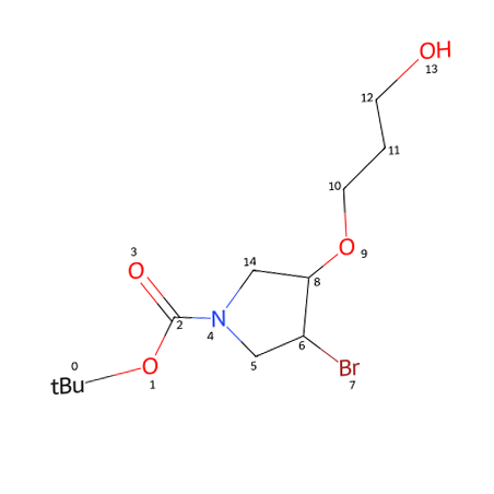 CC(C)(C)OC(=O)N1CC(Br)C(OCCCO)C1